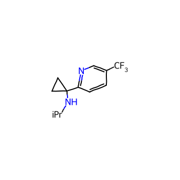 CC(C)NC1(c2ccc(C(F)(F)F)cn2)CC1